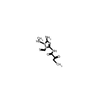 CCC(=O)C(=O)NC1=NC(N)N(NC)N1C=S